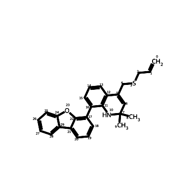 C=CCSCC1=CC(C)(C)Nc2c1cccc2-c1cccc2c1oc1ccccc12